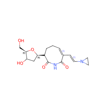 O=C1NC(=O)C([C@H]2CC(O)[C@@H](CO)O2)CC/C=C1/C=C/N1CC1